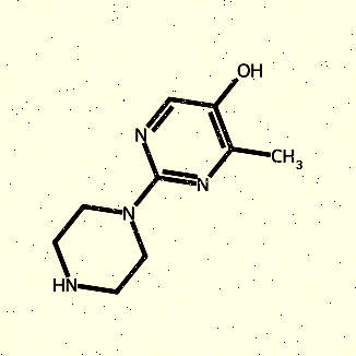 Cc1nc(N2CCNCC2)ncc1O